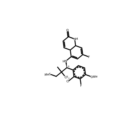 COc1ccc([C@H](NC2=CC(F)=CC3NC(=O)C=CC23)C(C)(CSC)C(F)(F)F)c(Cl)c1F